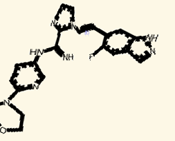 N=C(Nc1ccc(N2CCOCC2)nc1)c1nccn1/C=C/c1cc2[nH]ncc2cc1F